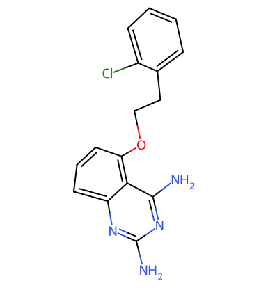 Nc1nc(N)c2c(OCCc3ccccc3Cl)cccc2n1